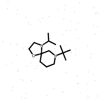 CC(C)N1CCOC12CCCN(C(C)(C)C)C2